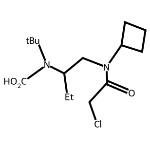 CCC(CN(C(=O)CCl)C1CCC1)N(C(=O)O)C(C)(C)C